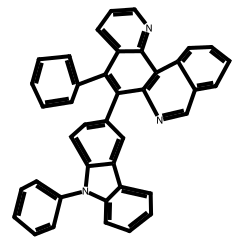 c1ccc(-c2c(-c3ccc4c(c3)c3ccccc3n4-c3ccccc3)c3ncc4ccccc4c3c3ncccc23)cc1